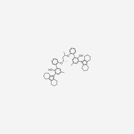 Cc1cc(-c2ccccc2OC(C)C[C@H](C)Oc2ccccc2-c2cc(C)cc(-n3c4c(c5c3CCCC5)CCCC4)c2O)c(O)c(-n2c3c(c4c2CCCC4)CCCC3)c1